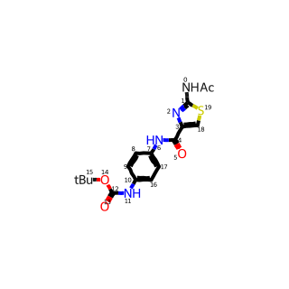 CC(=O)Nc1nc(C(=O)Nc2ccc(NC(=O)OC(C)(C)C)cc2)cs1